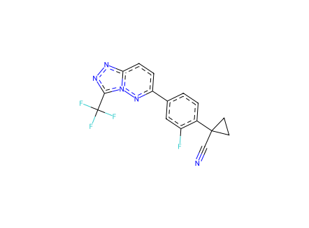 N#CC1(c2ccc(-c3ccc4nnc(C(F)(F)F)n4n3)cc2F)CC1